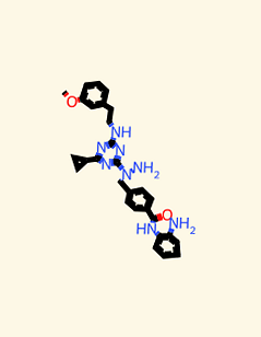 COc1cccc(CCNc2nc(C3CC3)nc(N(N)Cc3ccc(C(=O)Nc4ccccc4N)cc3)n2)c1